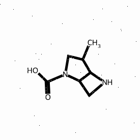 CC1CN(C(=O)O)C2CNC12